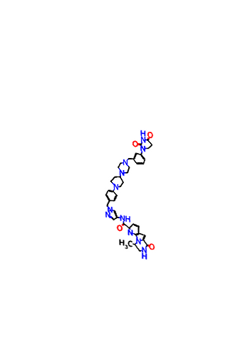 C[C@@H]1CNC(=O)c2cc3ccc(C(=O)Nc4cnn(Cc5ccc(N6CCC(N7CCN(Cc8cccc(N9CCC(=O)NC9=O)c8)CC7)CC6)cc5)c4)nc3n21